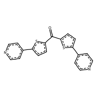 O=C(c1ccc(-c2ccncc2)s1)c1ccc(-c2ccncc2)s1